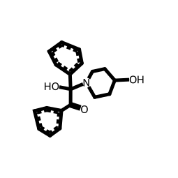 O=C(c1ccccc1)C(O)(c1ccccc1)N1CCC(O)CC1